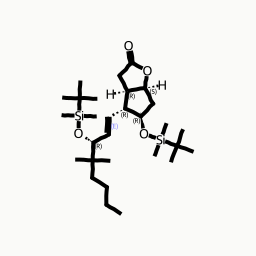 CCCCC(C)(C)[C@@H](/C=C/[C@@H]1[C@H]2CC(=O)O[C@H]2C[C@H]1O[Si](C)(C)C(C)(C)C)O[Si](C)(C)C(C)(C)C